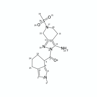 Cn1cc2c(c1)C(C(=O)n1nc3c(c1N)CCN(S(C)(=O)=O)C3)CCC2